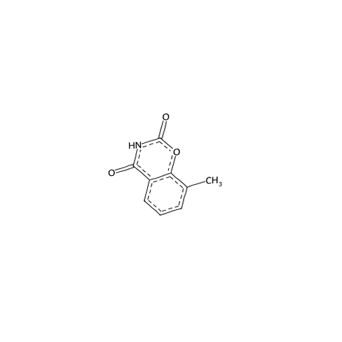 Cc1cccc2c(=O)[nH]c(=O)oc12